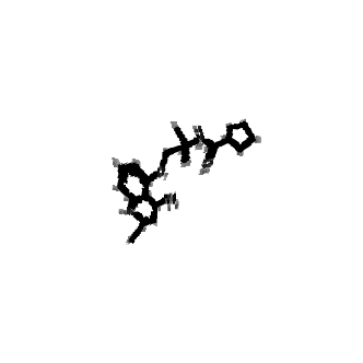 Cc1cc(N)c2c(OCC(C)(C)NC(=O)C3CCCC3)cccc2n1